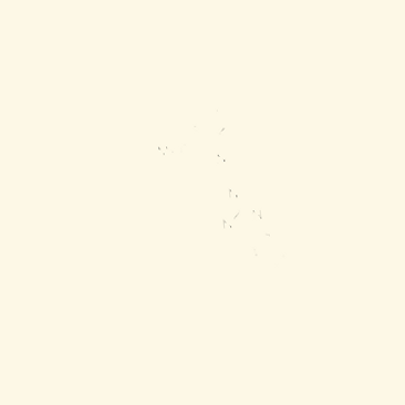 COc1ccccc1N1CCN(C2=NC3CCCc4cccc(c43)N2)CC1